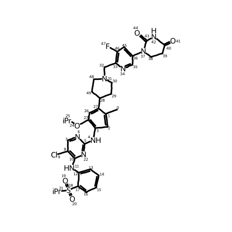 Cc1cc(Nc2ncc(Cl)c(Nc3ccccc3S(=O)(=O)C(C)C)n2)c(OC(C)C)cc1C1CCN(Cc2ncc(N3CCC(=O)NC3=O)cc2F)CC1